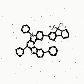 CC1(C)c2cc(-c3ccc4c(c3)c3c5c(sc6ccc(-c7ccccc7)cc65)c(-c5ccccc5)cc3n4-c3ccccc3)ccc2C2C=CC=CC21